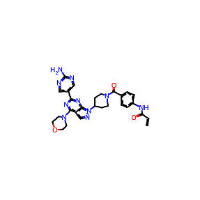 C=CC(=O)Nc1ccc(C(=O)N2CCC(n3ncc4c(N5CCOCC5)nc(-c5cnc(N)nc5)nc43)CC2)cc1